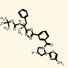 Cc1csc([C@H]2C[C@H](F)CN2C(=O)c2cccc(-c3nnc([C@@](C)(Cc4ccccc4)NC(=O)OC(C)(C)C)o3)c2)n1